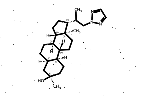 CC(Cn1nccn1)[C@H]1CC[C@H]2[C@@H]3CC[C@@H]4C[C@](C)(O)CC[C@@H]4[C@H]3CC[C@]12C